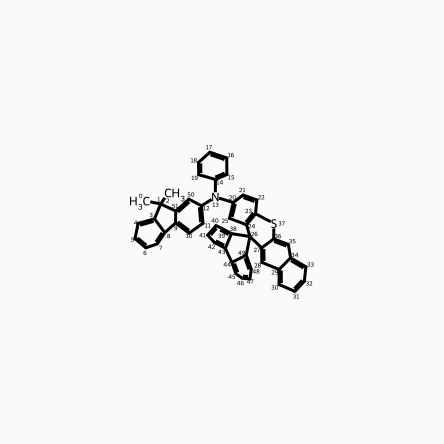 CC1(C)c2ccccc2-c2ccc(N(c3ccccc3)c3ccc4c(c3)C3(c5cc6ccccc6cc5S4)c4ccccc4-c4ccccc43)cc21